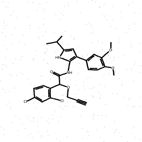 C#CCOC(C(=O)Nc1[nH]c(C(C)C)cc1-c1ccc(OC)c(OC)c1)c1ccc(Cl)cc1Cl